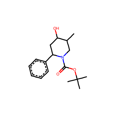 CC1CN(C(=O)OC(C)(C)C)C(c2ccccc2)CC1O